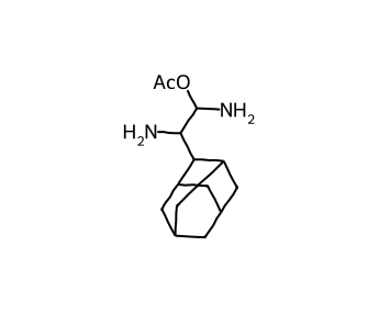 CC(=O)OC(N)C(N)C1C2CC3CC(C2)CC1C3